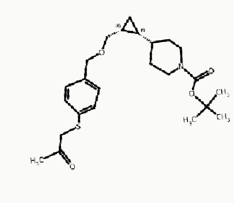 CC(=O)CSc1ccc(COC[C@@H]2C[C@@H]2C2CCN(C(=O)OC(C)(C)C)CC2)cc1